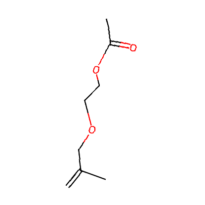 C=C(C)COCCOC(C)=O